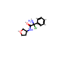 NC(Br)(C(=O)NC1CCOC1)c1ccccc1